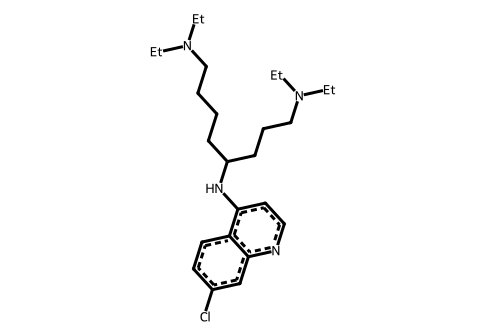 CCN(CC)CCCCC(CCCN(CC)CC)Nc1ccnc2cc(Cl)ccc12